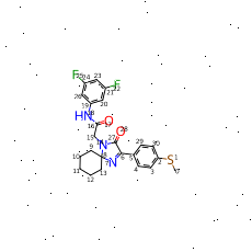 CSc1ccc(C2=NC3(CCCCC3)N(CC(=O)Nc3cc(F)cc(F)c3)C2=O)cc1